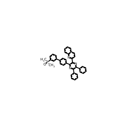 CP(C)(=O)c1cccc(-c2ccc(-c3nc(-c4ccccc4)c(-c4ccccc4)nc3-c3ccc4ccccc4n3)cc2)c1